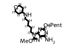 CCC[C@H](C)Oc1nc(N)c2nc(OC)n(CCCCCNC3CCOCC3)c2n1